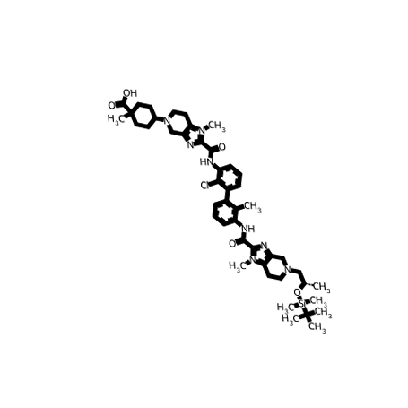 Cc1c(NC(=O)c2nc3c(n2C)CCN(C[C@H](C)O[Si](C)(C)C(C)(C)C)C3)cccc1-c1cccc(NC(=O)c2nc3c(n2C)CCN(C2CCC(C)(C(=O)O)CC2)C3)c1Cl